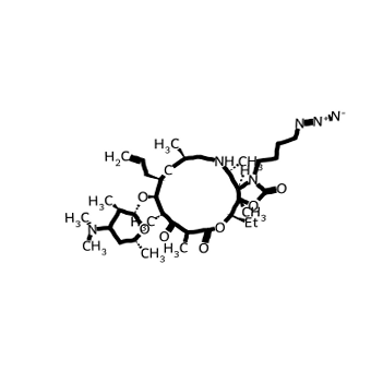 C=CC[C@H]1C[C@@H](C)CN[C@H](C)[C@H]2N(CCCCN=[N+]=[N-])C(=O)O[C@]2(C)[C@@H](CC)OC(=O)C(C)C(=O)[C@H](C)[C@H]1O[C@@H]1O[C@H](C)CC(N(C)C)[C@H]1C